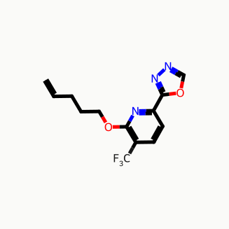 C=CCCCOc1nc(-c2nnco2)ccc1C(F)(F)F